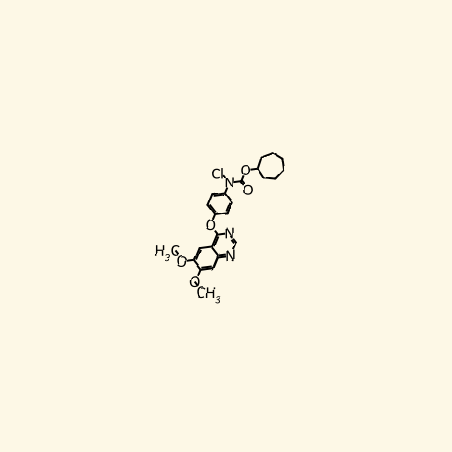 COc1cc2ncnc(Oc3ccc(N(Cl)C(=O)OC4CCCCCC4)cc3)c2cc1OC